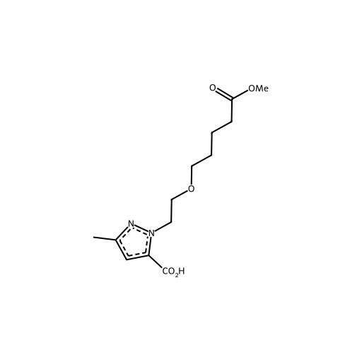 COC(=O)CCCCOCCn1nc(C)cc1C(=O)O